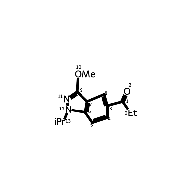 CCC(=O)c1ccc2c(c1)c(OC)nn2C(C)C